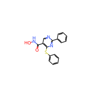 O=C(NO)c1cnc(-c2ccccc2)nc1Sc1ccccc1